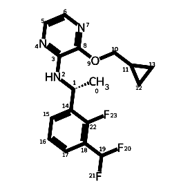 C[C@@H](Nc1nccnc1OCC1CC1)c1cccc(C(F)F)c1F